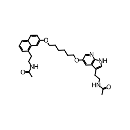 CC(=O)NCCc1cccc2ccc(OCCCCCCOc3cnc4[nH]cc(CCNC(C)=O)c4c3)cc12